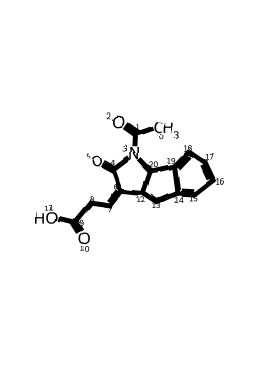 CC(=O)N1C(=O)C(=CCC(=O)O)C2Cc3ccccc3C21